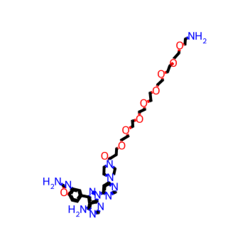 NCCOCCOCCOCCOCCOCCOCCOCCOCCC(=O)N1CCN(c2cc(-n3nc(-c4ccc5oc(N)nc5c4)c4c(N)ncnc43)ncn2)CC1